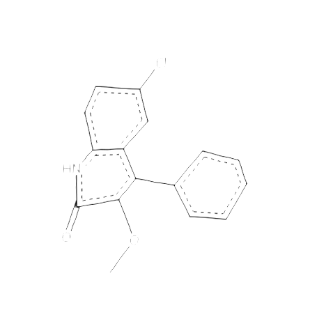 COc1c(-c2ccccc2)c2cc(Cl)ccc2[nH]c1=O